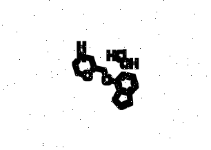 C1=Cc2cccc(OCC3CNCCO3)c2C1.CO.Cl